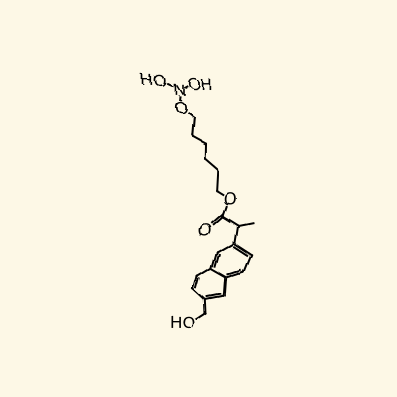 CC(C(=O)OCCCCCCON(O)O)c1ccc2cc(CO)ccc2c1